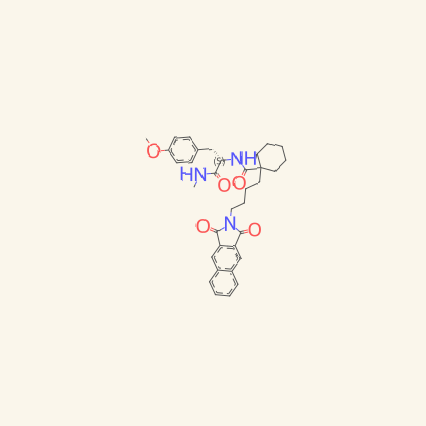 CNC(=O)[C@H](Cc1ccc(OC)cc1)NC(=O)C1(CCCCN2C(=O)c3cc4ccccc4cc3C2=O)CCCCC1